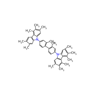 Cc1cc2c3c(C)c(C)c(C)cc3n(-c3ccc(-c4ccc(-n5c6cc(C)c(C)c(C)c6c6c(C)c(C)c(C)cc65)cc4C)c(C)c3)c2cc1C